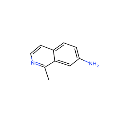 Cc1nccc2ccc(N)cc12